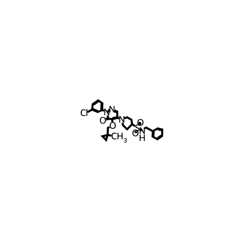 CC1(COc2c(N3CCC(S(=O)(=O)NCc4ccccc4)CC3)cnn(-c3cccc(Cl)c3)c2=O)CC1